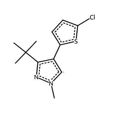 Cn1[c]c(-c2ccc(Cl)s2)c(C(C)(C)C)n1